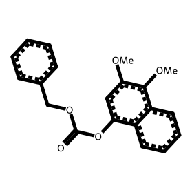 COc1cc(OC(=O)OCc2ccccc2)c2ccccc2c1OC